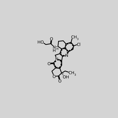 CC[C@@]1(O)C(=O)OCc2c1cc1n(c2=O)Cc2c-1nc1cc(Cl)c(C)c3c1c2[C@H](NC(=O)CO)CC3